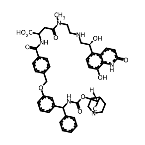 CN(CCNC[C@@H](O)c1ccc(O)c2[nH]c(=O)ccc12)C(=O)CC(NC(=O)c1ccc(COc2cccc(C(NC(=O)O[C@H]3CN4CCC3CC4)c3ccccc3)c2)cc1)C(=O)O